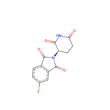 O=C1CC[C@@H](N2C(=O)c3ccc(F)cc3C2=O)C(=O)N1